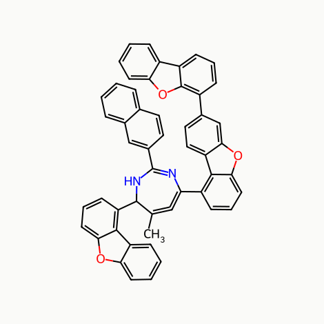 CC1=C=C(c2cccc3oc4cc(-c5cccc6c5oc5ccccc56)ccc4c23)N=C(c2ccc3ccccc3c2)NC1c1cccc2oc3ccccc3c12